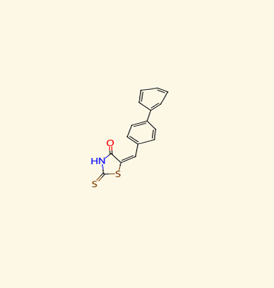 O=C1NC(=S)S/C1=C/c1ccc(-c2ccccc2)cc1